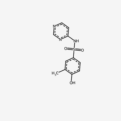 Cc1cc(S(=O)(=O)Nc2ccncn2)ccc1O